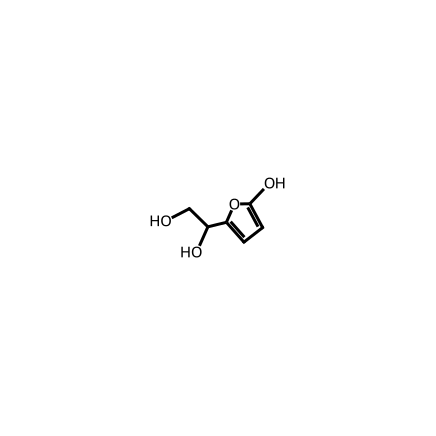 OCC(O)c1ccc(O)o1